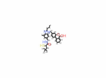 CCCc1nc2c(C)cc(CNC(=O)[C@@H](S)CC(C)(C)C)cc2n1Cc1ccc(-c2ccccc2C(=O)O)cc1